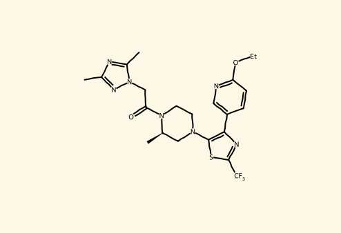 CCOc1ccc(-c2nc(C(F)(F)F)sc2N2CCN(C(=O)Cn3nc(C)nc3C)[C@H](C)C2)cn1